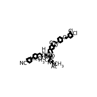 COC(=O)C(Cc1ccc(-c2ccc(C#N)cc2)cc1)NC(=O)[C@@H]1Cc2cc3c(cc2CN1S(=O)(=O)c1sc(N(C)C(C)=O)nc1C)O[C@H](c1ccc(OCc2ccc(Cl)c(Cl)c2)cc1)CO3